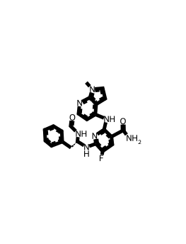 Cn1ccc2c(Nc3nc(N[C@H](Cc4ccccc4)NC=O)c(F)cc3C(N)=O)ccnc21